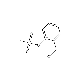 CS(=O)(=O)O[n+]1ccccc1CCl